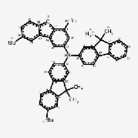 CC(C)(C)c1ccc2c(c1)C(C)(C)c1cc(N(c3ccc4c(c3)C(C)(C)c3ccccc3-4)c3cc(C(C)(C)C)c4oc5ccc(C(C)(C)C)cc5c4c3)ccc1-2